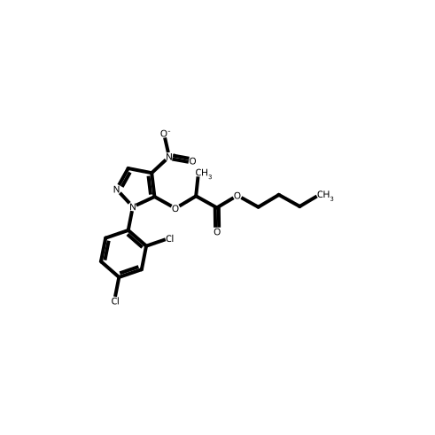 CCCCOC(=O)C(C)Oc1c([N+](=O)[O-])cnn1-c1ccc(Cl)cc1Cl